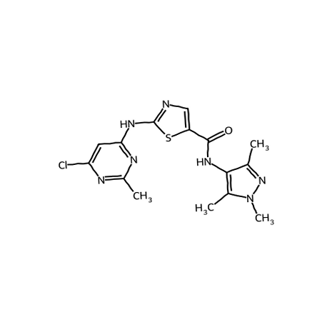 Cc1nc(Cl)cc(Nc2ncc(C(=O)Nc3c(C)nn(C)c3C)s2)n1